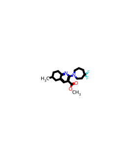 COC(=O)c1cc2c(nc1N1CCCC(F)(F)CC1)CCC(C)C2